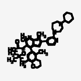 Cc1nc2c(cc(-c3ccnc(N4CCCN(C5CCCCC5)CC4)c3)n2C)c(-c2cc(F)c3c(c2C)CCCO3)c1[C@H](OC(C)(C)C)C(=O)O